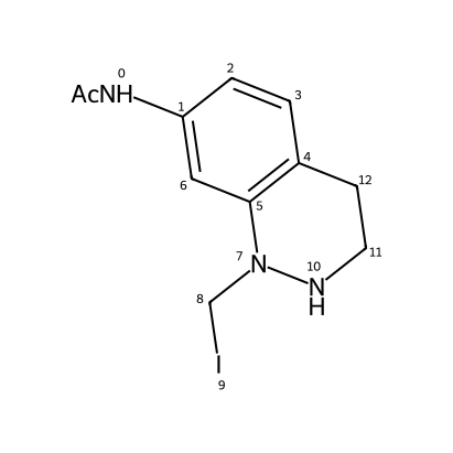 CC(=O)Nc1ccc2c(c1)N(CI)NCC2